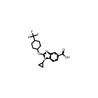 O=C(O)c1ccc2c(c1)nc(OC1CCC(C(F)(F)F)CC1)n2C1CC1